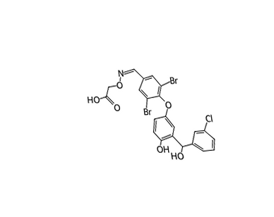 O=C(O)CO/N=C\c1cc(Br)c(Oc2ccc(O)c(C(O)c3cccc(Cl)c3)c2)c(Br)c1